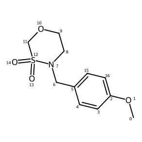 COc1ccc(CN2CCOCS2(=O)=O)cc1